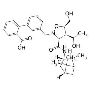 C[C@H](O)[C@@H]1[C@H](CO)ON(Cc2cccc(-c3ccccc3C(=O)O)c2)[C@@H]1C(=O)N[C@H]1C[C@H]2CC([C@@H]1C)C2(C)C